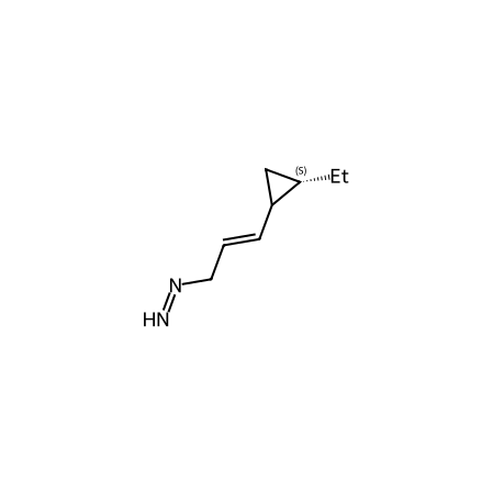 CC[C@H]1CC1C=CCN=N